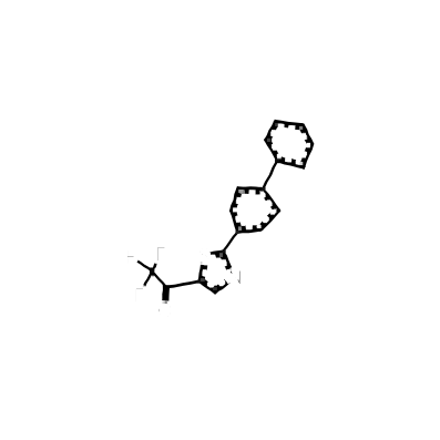 O=C(c1cnc(-c2ccc(-c3ccccc3)cc2)s1)C(F)(F)F